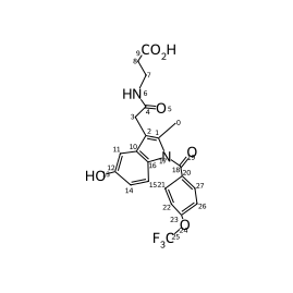 Cc1c(CC(=O)NCCC(=O)O)c2cc(O)ccc2n1C(=O)c1ccc(OC(F)(F)F)cc1